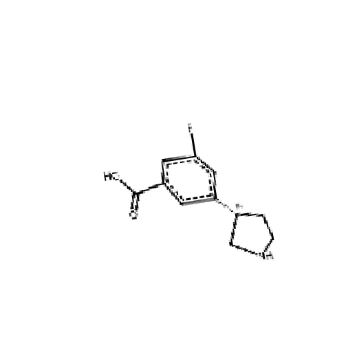 O=C(O)c1cc(F)cc([C@@H]2CCNC2)c1